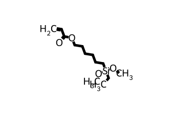 C=CC(=O)OCCCCCC[Si](CC)(OC)OC